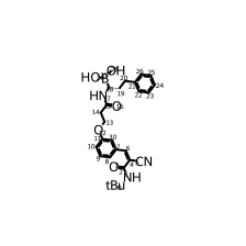 CC(C)(C)NC(=O)C(C#N)=Cc1cccc(OCCC(=O)N[C@@H](CCc2ccccc2)B(O)O)c1